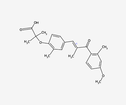 COc1ccc(C(=O)/C(C)=C/c2ccc(OC(C)(C)C(=O)O)c(C)c2)c(C)c1